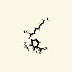 CCCCCC[C@H](C)Oc1ccc(C(=O)O)c(C)c1[N+](=O)[O-]